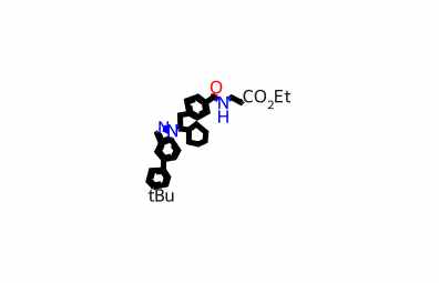 CCOC(=O)CCNC(=O)c1ccc(CC(C2CCCCC2)n2ncc3cc(-c4ccc(C(C)(C)C)cc4)ccc32)cc1